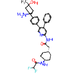 CC1(O)CC(N)(c2ccc(-c3cnc(NC(=O)C[C@H]4CC[C@H](NC(=O)C(F)F)CC4)cc3-c3ccccc3)cc2)C1